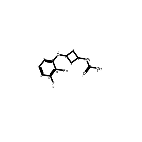 O=C(O)NC1CC(Oc2cccc(F)c2F)C1